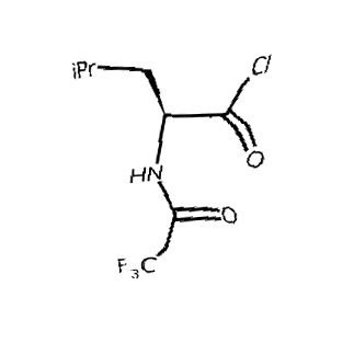 CC(C)C[C@H](NC(=O)C(F)(F)F)C(=O)Cl